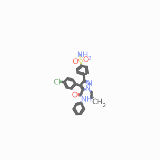 C=CCn1nc(-c2ccc(S(N)(=O)=O)cc2)c(-c2ccc(Cl)cc2)c1C(=O)Nc1ccccc1